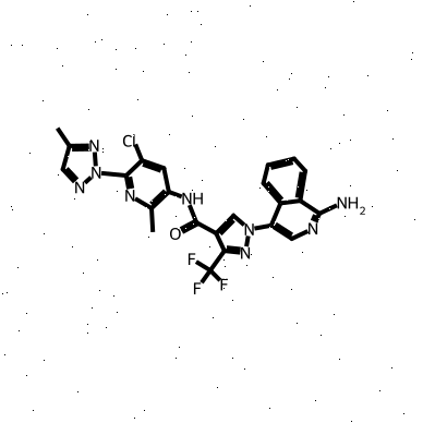 Cc1cnn(-c2nc(C)c(NC(=O)c3cn(-c4cnc(N)c5ccccc45)nc3C(F)(F)F)cc2Cl)n1